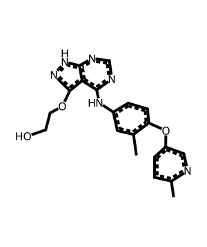 Cc1ccc(Oc2ccc(Nc3ncnc4[nH]nc(OCCO)c34)cc2C)cn1